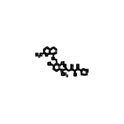 Cc1ccc2cccc(OCc3c(Cl)ccc(N(C)C(=O)CNC(=O)Nc4cccnc4)c3Cl)c2n1